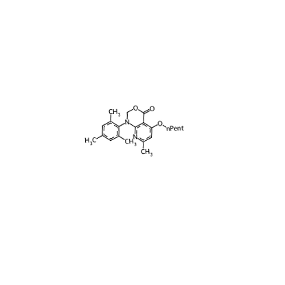 CCCCCOc1cc(C)nc2c1C(=O)OCN2c1c(C)cc(C)cc1C